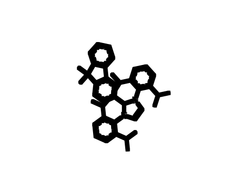 CC(C)c1cccc(C(C)C)c1N1C=CN(c2c(C(C)C)cccc2C(C)C)C1c1ccc2c(c1)-c1ccccc1C2(C)C